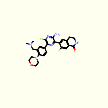 CN(C)Cc1cc(-c2nc(-c3cc4c(cc3F)C(=O)NCC4)c(N)nc2F)ccc1N1CCOCC1